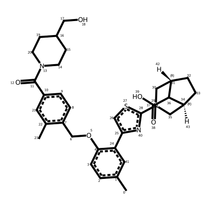 Cc1ccc(OCc2ccc(C(=O)N3CCC(CO)CC3)cc2C)c(-c2csc(N3C[C@@H]4CC[C@@H](C3)C4C(=O)O)n2)c1